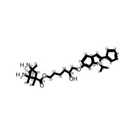 CC(C)n1c(-c2ccccc2)cc2ccc(OCC(O)CCCCOC(=O)C(C)(CC(C)(C)N)C(C)(C)N)cc21